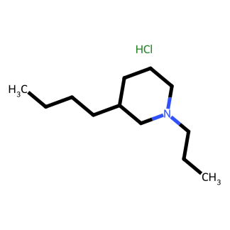 CCCCC1CCCN(CCC)C1.Cl